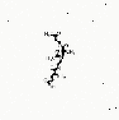 CC(=O)CCOC(=O)C(C)(C)CN(CCNC(=O)[C@@H](N)CCC(=O)O)C(C)=O